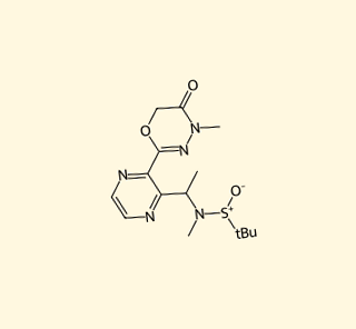 CC(c1nccnc1C1=NN(C)C(=O)CO1)N(C)[S+]([O-])C(C)(C)C